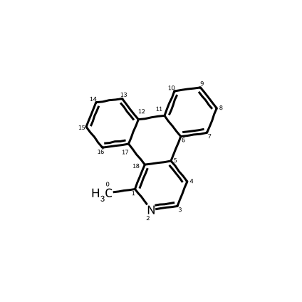 Cc1nccc2c3ccccc3c3ccccc3c12